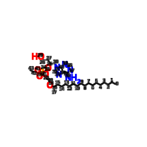 CCCCCCCCCCCCCCCCC(C)OCCOP(=O)(COC(CCO)Cn1cnc2c(N)ncnc21)OCC